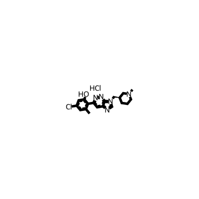 Cc1cc(Cl)cc(O)c1-c1cc2ncn(C[C@@H]3CCCN(C)C3)c2nn1.Cl